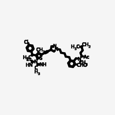 C=C(C)CCC(C(C)=O)N(C)Cc1c(C=O)cccc1CCCCCN1CC(C#Cc2sc(N(C(C)=N)C(=N)CC)c(C(=C)c3ccc(Cl)cc3)c2C)C=N1